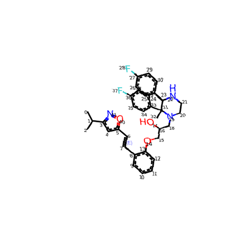 CC(C)c1cc(/C=C/c2ccccc2OCC(O)CN2CCNC(c3ccc(F)cc3)C2(C)c2ccc(F)cc2)on1